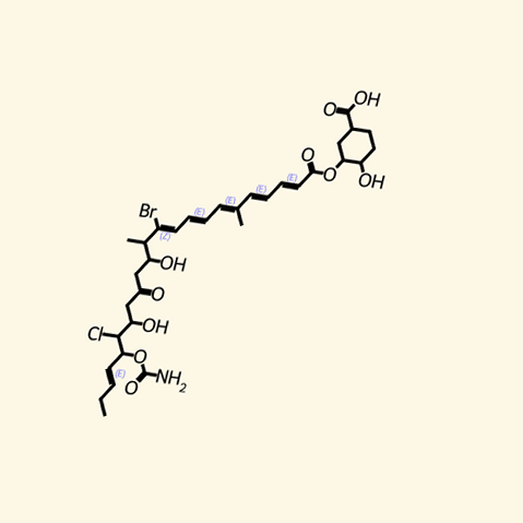 CC/C=C/C(OC(N)=O)C(Cl)C(O)CC(=O)CC(O)C(C)/C(Br)=C/C=C/C=C(C)/C=C/C=C/C(=O)OC1CC(C(=O)O)CCC1O